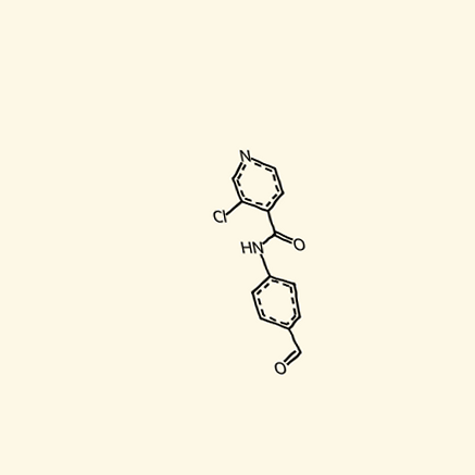 O=Cc1ccc(NC(=O)c2ccncc2Cl)cc1